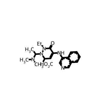 CCN1C(=O)C(Nc2cncc3ccccc23)=CC(C(=O)O)N1C(C)N(C)C